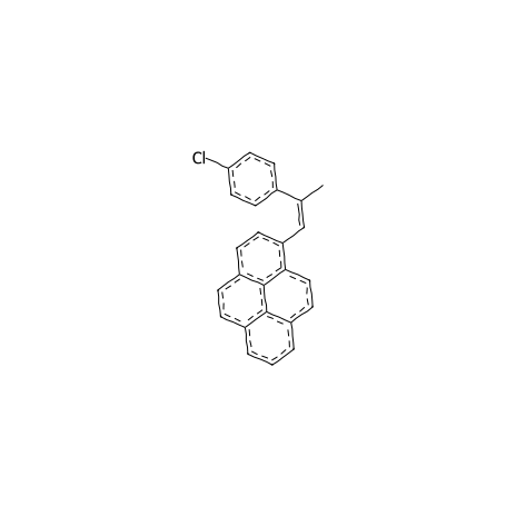 CC(=Cc1ccc2ccc3cccc4ccc1c2c34)c1ccc(Cl)cc1